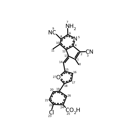 CC1=C(C#N)c2nc(N)c(C#N)c(C)c2/C1=C/c1ccc(-c2ccc(Cl)c(C(=O)O)c2)o1